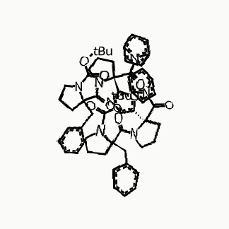 CC(C)(C)OC(=O)N1CCCC1(Cc1ccccc1)C(=O)N1CCC[C@@]1(C(=O)n1c2ccc1cc2)c1cnc([C@]2(C(=O)n3c4ccc3cc4)CCCN2C(=O)C2(Cc3ccccc3)CCCN2C(=O)OC(C)(C)C)o1